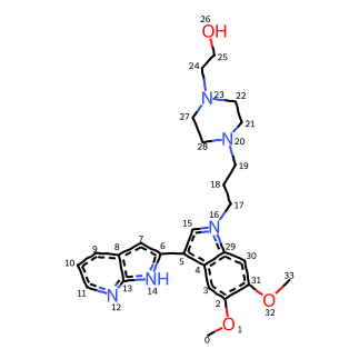 COc1cc2c(-c3cc4cccnc4[nH]3)cn(CCCN3CCN(CCO)CC3)c2cc1OC